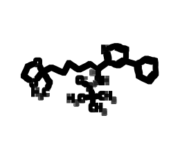 CCC1(CCCCC[C@H](N[S+]([O-])C(C)(C)C)c2cc(-c3ccccc3)ccn2)OCCO1